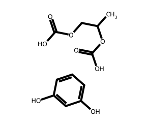 CC(COC(=O)O)OC(=O)O.Oc1cccc(O)c1